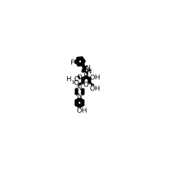 CO[C@@H]1[C@@H](n2cc(-c3cccc(F)c3)nn2)[C@@H](O)[C@@H](CO)O[C@H]1C(=O)N1CCN(c2ccc(O)cc2)CC1